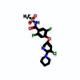 CS(=O)(=O)NC(=O)c1cc(F)c(Oc2cnc(N3CCCCC3)c(Cl)c2)cc1F